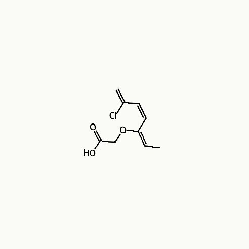 C=C(Cl)/C=C\C(=C/C)OCC(=O)O